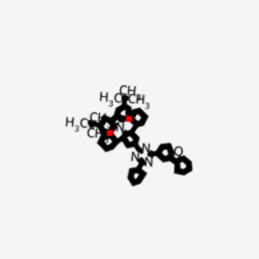 CC(C)(C)c1ccc2c(c1)c1cc(C(C)(C)C)ccc1n2-c1c(-c2ccccc2)cc(-c2nc(-c3ccccc3)nc(-c3ccc4oc5ccccc5c4c3)n2)cc1-c1ccccc1